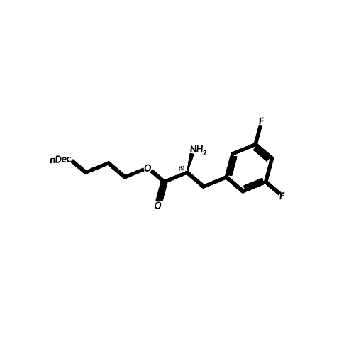 CCCCCCCCCCCCCOC(=O)[C@@H](N)Cc1cc(F)cc(F)c1